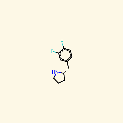 Fc1ccc(C[C@@H]2CCCN2)cc1F